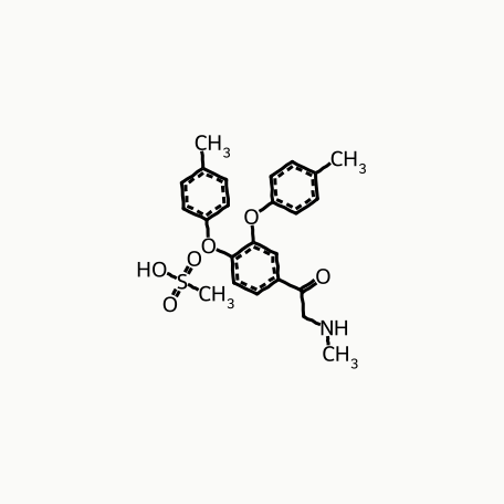 CNCC(=O)c1ccc(Oc2ccc(C)cc2)c(Oc2ccc(C)cc2)c1.CS(=O)(=O)O